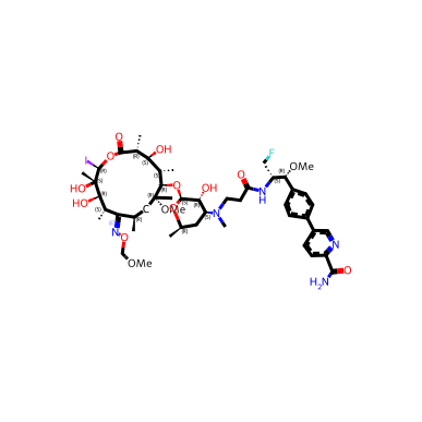 COCO/N=C1\[C@H](C)C[C@@](C)(OC)[C@H](O[C@@H]2O[C@H](C)C[C@H](N(C)CCC(=O)N[C@H](CF)[C@H](OC)c3ccc(-c4ccc(C(N)=O)nc4)cc3)[C@H]2O)[C@@H](C)[C@H](O)[C@@H](C)C(=O)O[C@H](I)[C@@](C)(O)[C@H](O)[C@H]1C